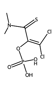 CN(C)C(=S)C(OP(=O)(O)O)=C(Cl)Cl